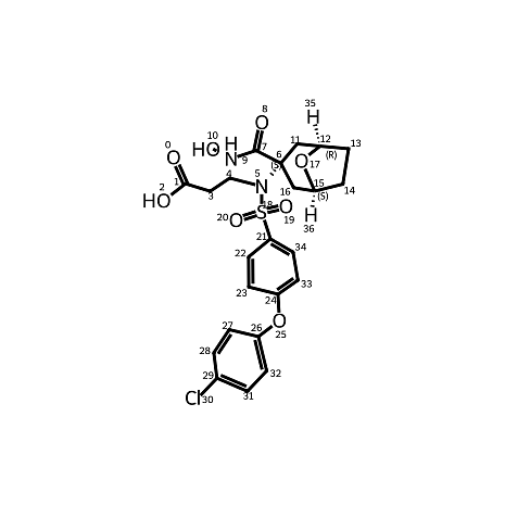 O=C(O)CCN([C@]1(C(=O)NO)C[C@H]2CC[C@@H](C1)O2)S(=O)(=O)c1ccc(Oc2ccc(Cl)cc2)cc1